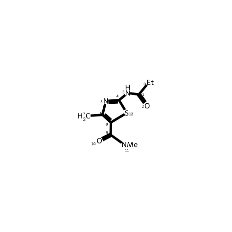 CCC(=O)Nc1nc(C)c(C(=O)NC)s1